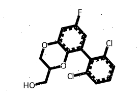 OCC1COc2cc(F)cc(-c3c(Cl)cccc3Cl)c2O1